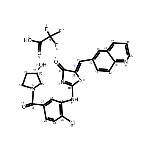 O=C(O)C(F)(F)F.O=C1N=C(Nc2cc(C(=O)N3CC[C@H](O)C3)ccc2Cl)S/C1=C\c1ccc2ncccc2c1